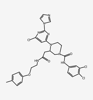 Cc1ccc(OCCNC(=O)CC2CN(C(=O)Nc3ccc(Cl)c(Cl)c3)CCN2c2cc(Cl)nc(-n3ccnc3)n2)cc1